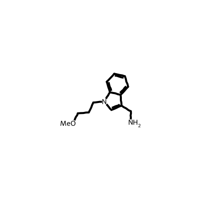 COCCCn1cc(CN)c2ccccc21